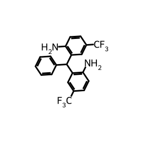 Nc1ccc(C(F)(F)F)cc1C(c1ccccc1)c1cc(C(F)(F)F)ccc1N